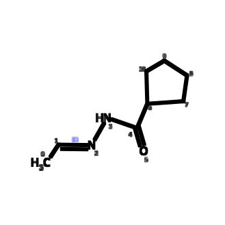 C/C=N/NC(=O)C1CCCC1